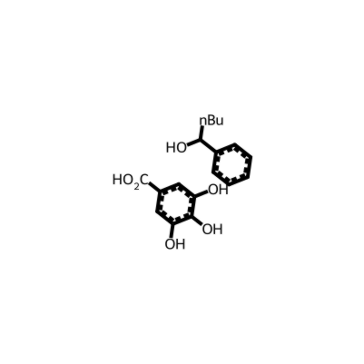 CCCCC(O)c1ccccc1.O=C(O)c1cc(O)c(O)c(O)c1